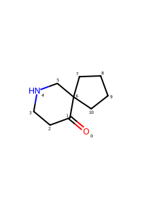 O=C1CCNCC12CCCC2